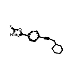 S=c1[nH]nc(-c2ccc(C#CCC3CCCCC3)cc2)o1